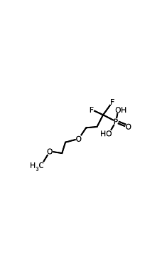 COCCOCCC(F)(F)P(=O)(O)O